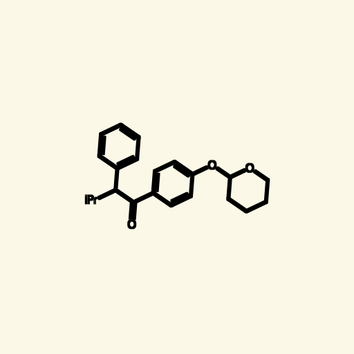 CC(C)C(C(=O)c1ccc(OC2CCCCO2)cc1)c1ccccc1